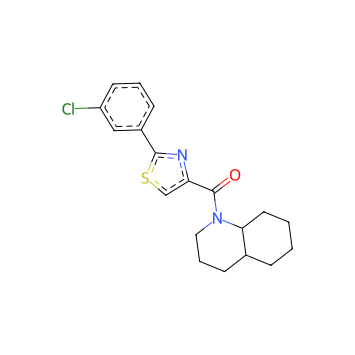 O=C(c1csc(-c2cccc(Cl)c2)n1)N1CCCC2CCCCC21